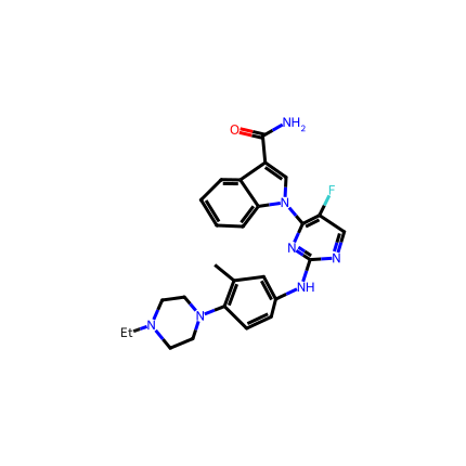 CCN1CCN(c2ccc(Nc3ncc(F)c(-n4cc(C(N)=O)c5ccccc54)n3)cc2C)CC1